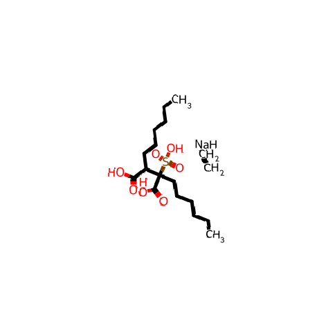 C=C.CCCCCCC(C(=O)O)C(CCCCCC)(C(=O)O)S(=O)(=O)O.[NaH]